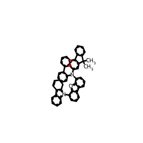 CC1(C)c2ccccc2-c2ccc(N(c3ccccc3-c3ccccc3)c3cccc4c3oc3c(-n5c6c(c7ccccc75)C=CCC6)cccc34)cc21